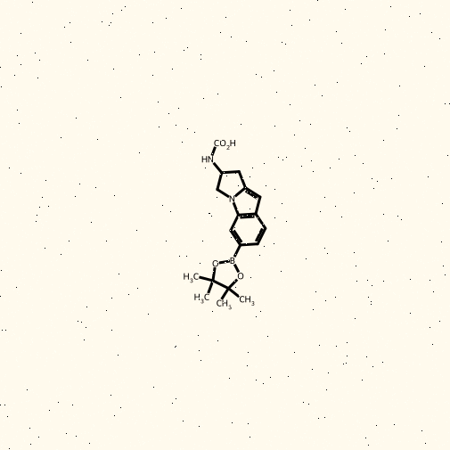 CC1(C)OB(c2ccc3cc4n(c3c2)CC(NC(=O)O)C4)OC1(C)C